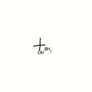 B.CC(C)(C)O